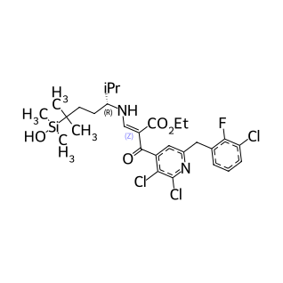 CCOC(=O)/C(=C\N[C@H](CCC(C)(C)[Si](C)(C)O)C(C)C)C(=O)c1cc(Cc2cccc(Cl)c2F)nc(Cl)c1Cl